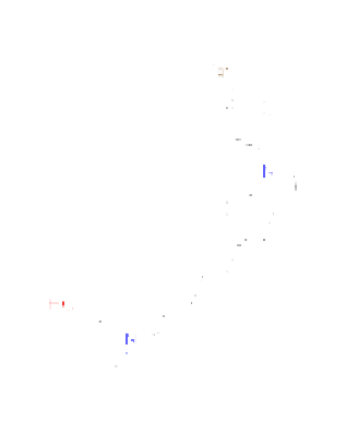 CCN(CCO)CCCCCc1ccc2c(ccn2-c2ccc(Br)cc2)c1